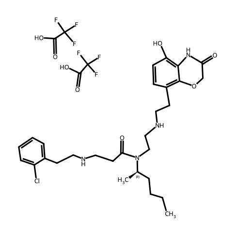 CCCC[C@@H](C)N(CCNCCc1ccc(O)c2c1OCC(=O)N2)C(=O)CCNCCc1ccccc1Cl.O=C(O)C(F)(F)F.O=C(O)C(F)(F)F